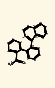 NC(=O)c1ccccc1-c1ccccc1-c1nccc2ccccc12